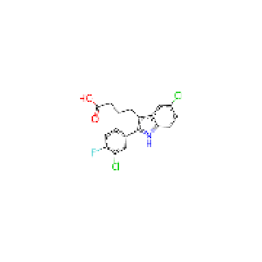 O=C(O)CCCc1c(-c2ccc(F)c(Cl)c2)[nH]c2ccc(Cl)cc12